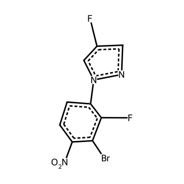 O=[N+]([O-])c1ccc(-n2cc(F)cn2)c(F)c1Br